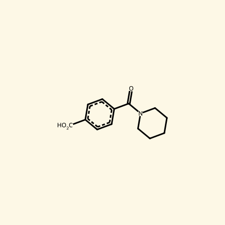 O=C(O)c1ccc(C(=O)N2CCCCC2)cc1